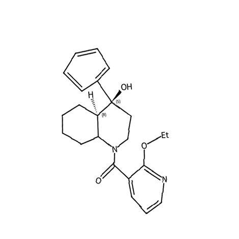 CCOc1ncccc1C(=O)N1CC[C@@](O)(c2ccccc2)[C@@H]2CCCCC21